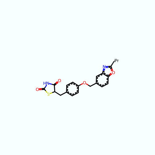 CC(C)c1nc2cc(COc3ccc(CC4SC(=O)NC4=O)cc3)ccc2o1